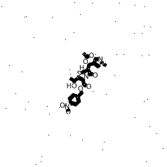 CC(=O)OC(c1cnn(C)c1)C1C(=O)N2C(C(=O)OCc3ccc([N+](=O)[O-])cc3)=C(C(C)O)S[C@H]12